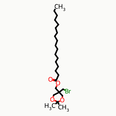 CCCCCCCCCCCCCCCCCC(=O)OCC1(CBr)COC(C)(C)OC1